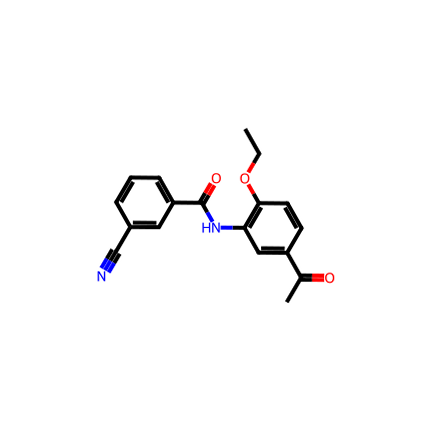 CCOc1ccc(C(C)=O)cc1NC(=O)c1cccc(C#N)c1